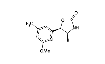 COc1cc(C(F)(F)F)cc([C@H]2OC(=O)N[C@H]2C)n1